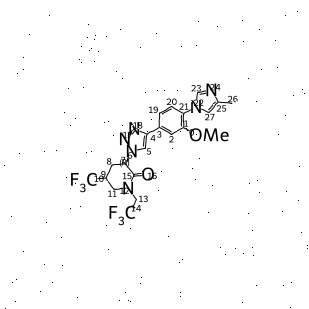 COc1cc(-c2cn([C@@H]3CC(C(F)(F)F)CN(CC(F)(F)F)C3=O)nn2)ccc1-n1cnc(C)c1